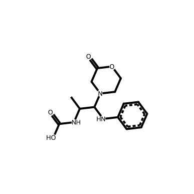 CC(NC(=O)O)C(Nc1ccccc1)N1CCOC(=O)C1